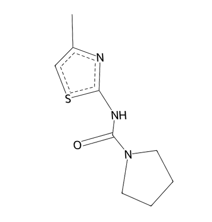 Cc1csc(NC(=O)N2CCCC2)n1